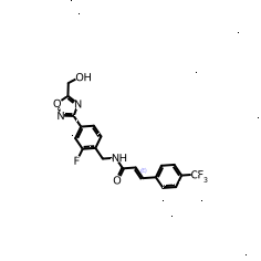 O=C(/C=C/c1ccc(C(F)(F)F)cc1)NCc1ccc(-c2noc(CO)n2)cc1F